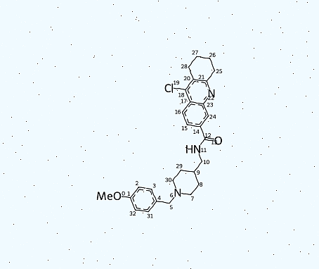 COc1ccc(CN2CCC(CNC(=O)c3ccc4c(Cl)c5c(nc4c3)CCCC5)CC2)cc1